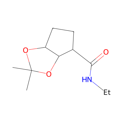 CCNC(=O)C1CCC2OC(C)(C)OC21